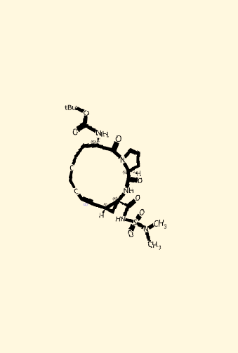 CN(C)S(=O)(=O)NC(=O)[C@@]12C[C@H]1/C=C\CCCCC[C@H](NC(=O)OC(C)(C)C)C(=O)N1CCC[C@H]1C(=O)N2